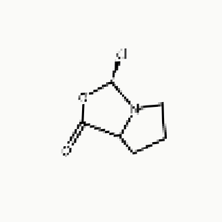 O=C1O[C@@H](Cl)N2CCCC12